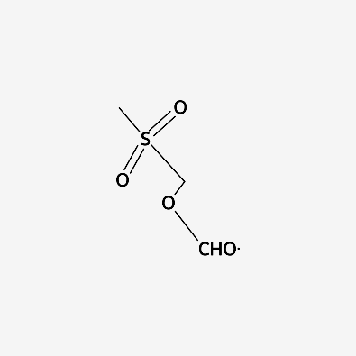 CS(=O)(=O)CO[C]=O